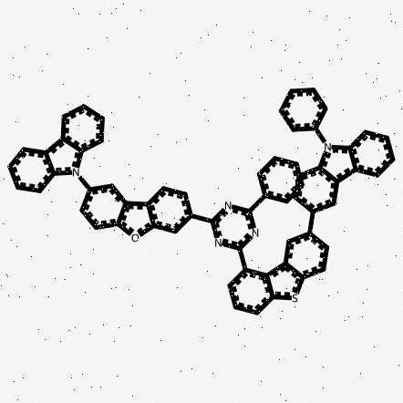 c1ccc(-c2nc(-c3ccc4c(c3)oc3ccc(-n5c6ccccc6c6ccccc65)cc34)nc(-c3cccc4sc5ccc(-c6ccc7c(c6)c6ccccc6n7-c6ccccc6)cc5c34)n2)cc1